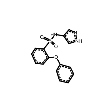 O=S(=O)(Nc1cn[nH]c1)c1ccccc1Oc1ccccc1